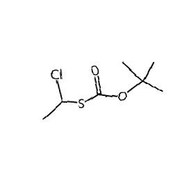 CC(Cl)SC(=O)OC(C)(C)C